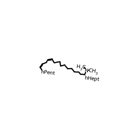 CCCCC/C=C\C/C=C\CCCCCCCCC[C@@H](CCCCCCC)N(C)C